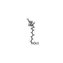 CCCCCCCCCCCCCCCC[Si](C)(C)O[SiH2]C